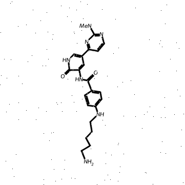 CNc1nccc(-c2c[nH]c(=O)c(NC(=O)c3ccc(NCCCCCN)cc3)c2)n1